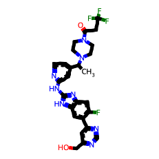 CC(c1ccnc(Nc2nc3cc(F)c(-c4cc(CO)ncn4)cc3[nH]2)c1)N1CCN(C(=O)CC(F)(F)F)CC1